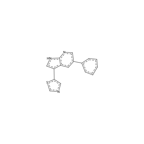 c1ccc(-c2cnc3[nH]cc(-c4cncs4)c3c2)cc1